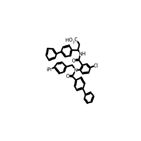 CC(C)c1ccc(CN(C(=O)c2ccc(-c3ccccc3)cc2)c2ccc(Cl)cc2C(=O)NC(CC(=O)O)c2ccc(-c3ccccc3)cc2)cc1